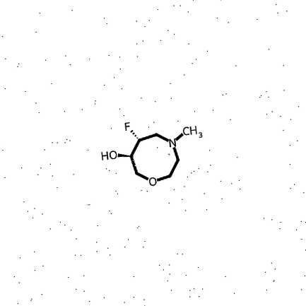 CN1CCOC[C@@H](O)[C@H](F)C1